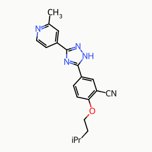 Cc1cc(-c2n[nH]c(-c3ccc(OCCC(C)C)c(C#N)c3)n2)ccn1